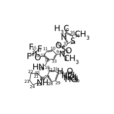 Cc1nc(S(=O)(=O)N(C)c2ccc(OC(F)(F)F)c(CN[C@H]3CCCN[C@H]3c3ccccc3)c2)sc1C.Cl.Cl.Cl.O